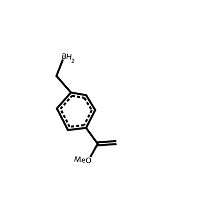 BCc1ccc(C(=C)OC)cc1